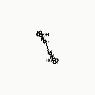 Oc1c(N=Nc2cc[n+](CCCCCC[n+]3ccc(N=Nc4cc5c6c(c4O)CCCN6CCC5)cc3)cc2)cc2c3c1CCCN3CCC2